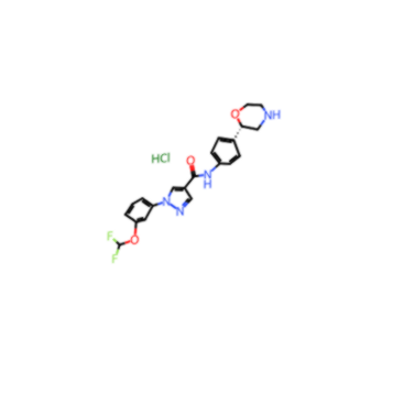 Cl.O=C(Nc1ccc([C@H]2CNCCO2)cc1)c1cnn(-c2cccc(OC(F)F)c2)c1